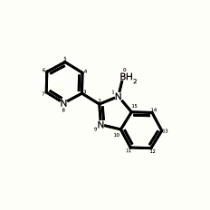 Bn1c(-c2ccccn2)nc2ccccc21